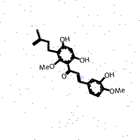 C=C(C)CCc1c(O)cc(O)c(C(=O)/C=C/c2ccc(OC)c(O)c2)c1OC